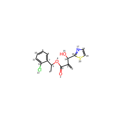 C=C(C(=O)OC(C)c1ccccc1Cl)C(O)c1nccs1